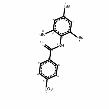 CC(C)(C)c1cc(C(C)(C)C)c(NC(=O)c2ccc(C(=O)O)cc2)c(C(C)(C)C)c1